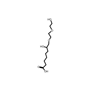 O=C(O)CCCCCC(O)COCCOCCO